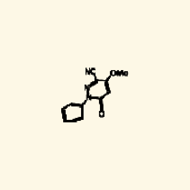 COc1cc(=O)n(-c2ccccc2)nc1C#N